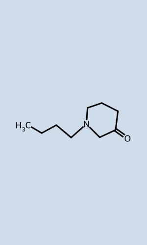 CCCCN1CCCC(=O)C1